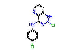 Clc1ccc(NC2=NN(Cl)Nc3cccnc32)cc1